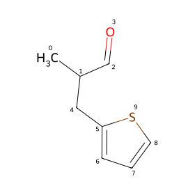 CC(C=O)Cc1cccs1